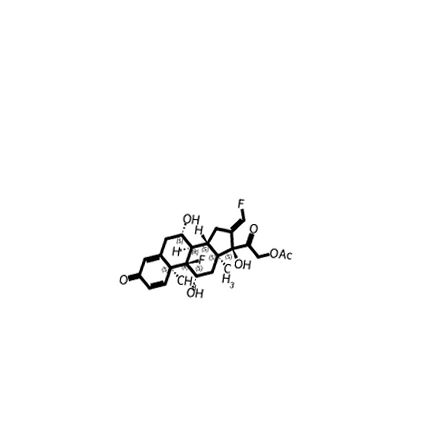 CC(=O)OCC(=O)[C@@]1(O)C(=CF)C[C@H]2[C@@H]3[C@@H](O)CC4=CC(=O)C=C[C@]4(C)[C@@]3(F)[C@@H](O)C[C@@]21C